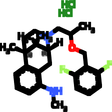 CNc1cccc2c1C[C@H]1N(CC(C)OCc3c(F)cccc3F)CC[C@]2(C)C1(C)C.Cl.Cl